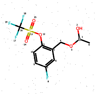 CB(O)OCc1cc(F)ccc1OS(=O)(=O)C(F)(F)F